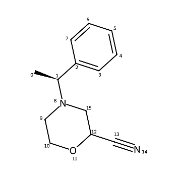 C[C@@H](c1ccccc1)N1CCOC(C#N)C1